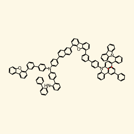 c1ccc(-c2cccc(-c3ccccc3N(c3ccc(-c4cccc(-c5cccc6c5oc5c(-c7ccc8cc(-c9ccc(N(c%10ccc(-c%11cccc(-c%12cccc%13c%12oc%12ccccc%12%13)c%11)cc%10)c%10ccc(-c%11ccccc%11Nc%11ccccc%11-c%11ccccc%11)cc%10)cc9)ccc8c7)cccc56)c4)cc3)c3ccc(-c4ccccc4-n4c5ccccc5c5ccccc54)cc3)c2)cc1